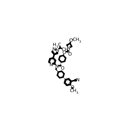 COc1ccc([C@H]2CC[C@H](CN(c3cc(-c4cnn(C(C)C)c4)ccn3)C(=O)[C@H]3CC[C@H](OC(=O)N4CC(OC)C4)CC3)CC2)cc1C#N